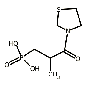 CC(CP(=O)(O)O)C(=O)N1CCSC1